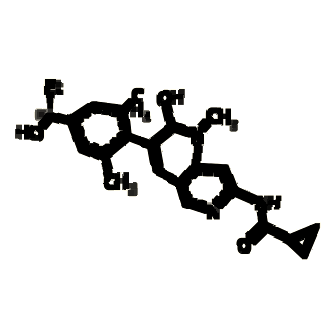 CC[C@@H](O)c1cc(C)c(C2=Cc3cnc(NC(=O)C4CC4)cc3N(C)C2O)c(C)c1